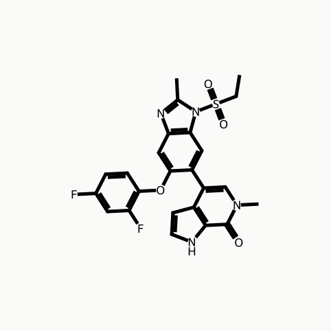 CCS(=O)(=O)n1c(C)nc2cc(Oc3ccc(F)cc3F)c(-c3cn(C)c(=O)c4[nH]ccc34)cc21